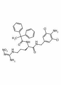 CC(C(=O)N[C@H](CCCN/C(N)=N\[N+](=O)[O-])C(=O)NCc1cc(Cl)c(N)c(Cl)c1)(c1ccccc1)c1ccccc1